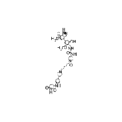 COc1cc(-c2cn(C)c(=O)c3[nH]ncc23)cc(O)c1CNCC(=O)NC1CCN(C(=O)CCCCCN2CCC(c3ccc(NC4CCC(=O)NC4=O)cc3)CC2)CC1